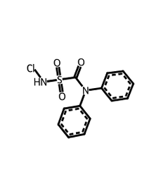 O=C(N(c1ccccc1)c1ccccc1)S(=O)(=O)NCl